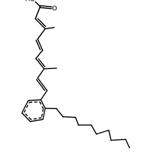 CCCCCCCCCCc1ccccc1/C=C/C(C)=C/C=C/C(C)=C/C(=O)O